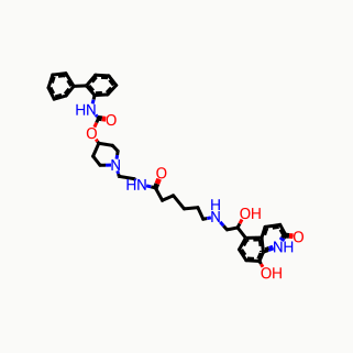 O=C(CCCCCNCC(O)c1ccc(O)c2[nH]c(=O)ccc12)NCCN1CCC(OC(=O)Nc2ccccc2-c2ccccc2)CC1